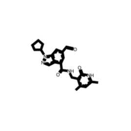 Cc1cc(C)c(CNC(=O)c2cc(C=O)cc3c2cnn3C2CCCC2)c(=O)[nH]1